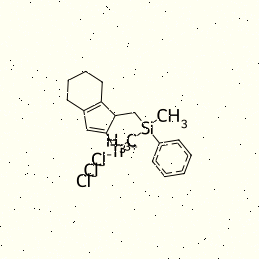 C[Si](C)(CC1[C]([Ti+3])=CC2=C1CCCC2)c1ccccc1.[Cl-].[Cl-].[Cl-]